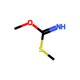 COC(=N)SC